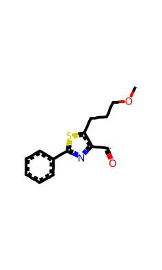 COCCCc1sc(-c2ccccc2)nc1[C]=O